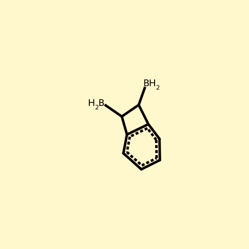 BC1c2ccccc2C1B